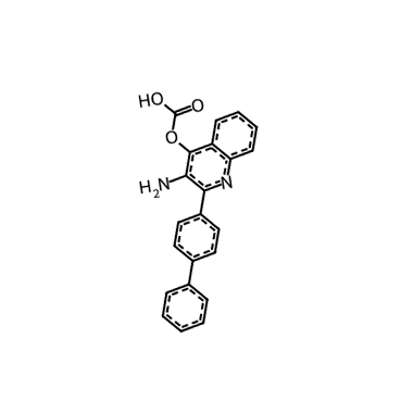 Nc1c(-c2ccc(-c3ccccc3)cc2)nc2ccccc2c1OC(=O)O